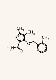 Cc1ccccc1COc1c(C(N)=O)sc(C)c1C